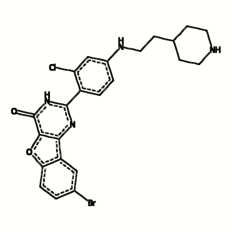 O=c1[nH]c(-c2ccc(NCCC3CCNCC3)cc2Cl)nc2c1oc1ccc(Br)cc12